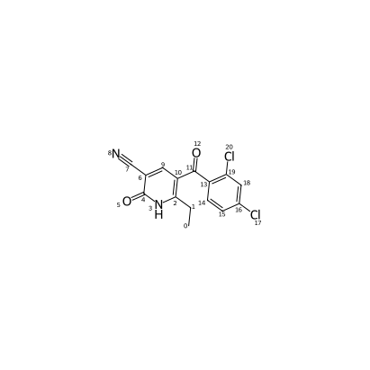 CCc1[nH]c(=O)c(C#N)cc1C(=O)c1ccc(Cl)cc1Cl